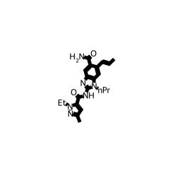 CC=Cc1cc2c(cc1C(N)=O)nc(NC(=O)c1cc(C)nn1CC)n2CCC